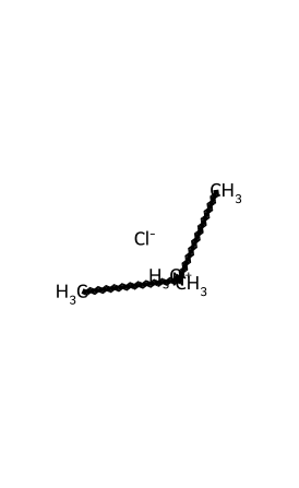 CCCCCCCCCCCCCCCCCCCCCCCC[N+](C)(C)CCCCCCCCCCCCCCCCCCCCCCCC.[Cl-]